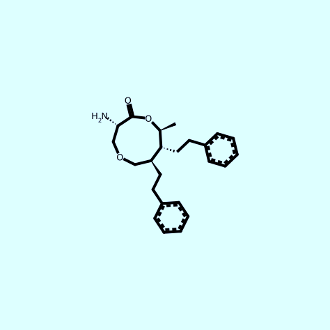 C[C@@H]1OC(=O)[C@@H](N)COC[C@H](CCc2ccccc2)[C@H]1CCc1ccccc1